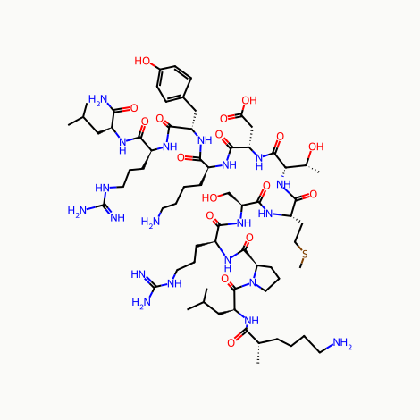 CSCC[C@H](NC(=O)[C@H](CO)NC(=O)[C@H](CCCNC(=N)N)NC(=O)[C@H]1CCCN1C(=O)[C@H](CC(C)C)NC(=O)[C@@H](C)CCCCN)C(=O)N[C@H](C(=O)N[C@@H](CC(=O)O)C(=O)N[C@@H](CCCCN)C(=O)N[C@@H](Cc1ccc(O)cc1)C(=O)N[C@@H](CCCNC(=N)N)C(=O)N[C@@H](CC(C)C)C(N)=O)[C@@H](C)O